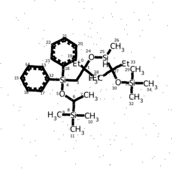 CCC(CC)(C[Si](OC(C)[Si](C)(C)C)(c1ccccc1)c1ccccc1)O[SiH](C)C(C)(CC)O[Si](C)(C)C